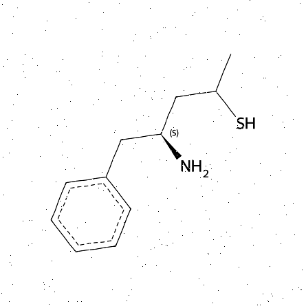 CC(S)C[C@@H](N)Cc1ccccc1